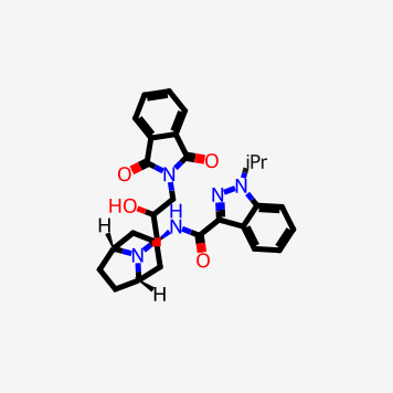 CC(C)n1nc(C(=O)N[C@@H]2C[C@H]3CC[C@@H](C2)N3CC(O)CN2C(=O)c3ccccc3C2=O)c2ccccc21